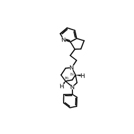 c1ccc(N2C[C@@H]3C[C@H]2CCN3CCC2CCc3cccnc32)cc1